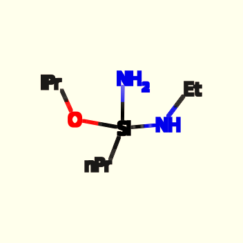 CCC[Si](N)(NCC)OC(C)C